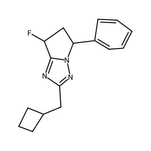 FC1CC(c2ccccc2)n2nc(CC3CCC3)nc21